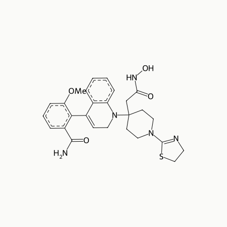 COc1cccc(C(N)=O)c1C1=CCN(C2(CC(=O)NO)CCN(C3=NCCS3)CC2)c2ccccc21